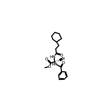 COC(=O)[C@@](C#N)(NC(=O)CCC1CCCCC1)NC(=O)c1ccccc1